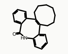 O=C1Nc2ccccc2/C2=C(/CCCCCCC2)c2ccccc21